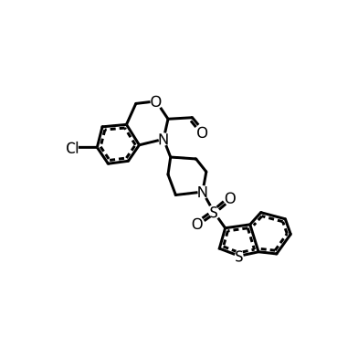 O=CC1OCc2cc(Cl)ccc2N1C1CCN(S(=O)(=O)c2csc3ccccc23)CC1